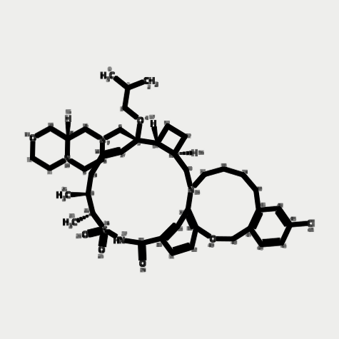 CC(C)CO[C@@]1(CN2CCN3CCOC[C@@H]3C2)/C=C/C[C@H](C)[C@@H](C)S(=O)(=O)NC(=O)c2ccc3c(c2)N(CCCCc2cc(Cl)ccc2CO3)C[C@@H]2CC[C@H]21